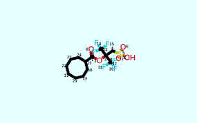 O=C(OC(CS(=O)(=O)O)(C(F)(F)F)C(F)(F)F)C1CCCCCCC1